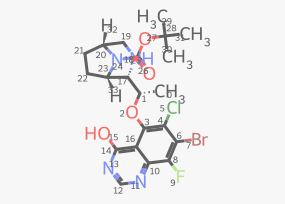 C[C@H](Oc1c(Cl)c(Br)c(F)c2ncnc(O)c12)[C@H]1NC[C@H]2CC[C@@H]1N2C(=O)OC(C)(C)C